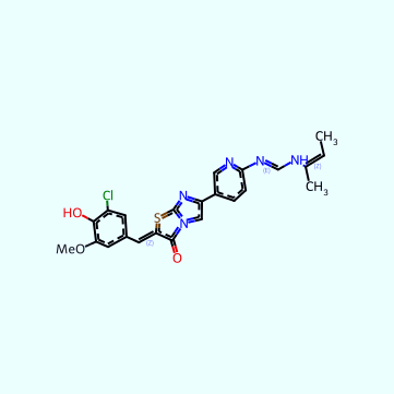 C/C=C(/C)N/C=N/c1ccc(-c2cn3c(=O)/c(=C/c4cc(Cl)c(O)c(OC)c4)sc3n2)cn1